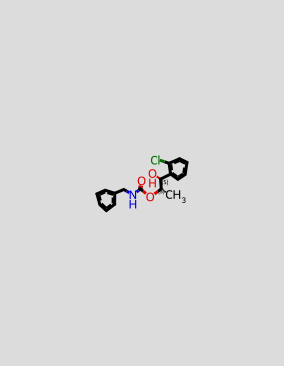 C[C@H](OC(=O)NCc1ccccc1)[C@@H](O)c1ccccc1Cl